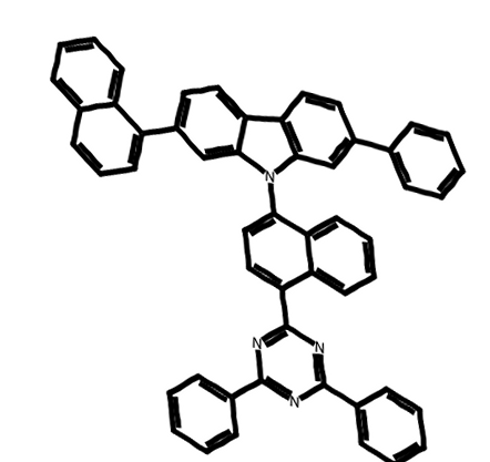 c1ccc(-c2ccc3c4ccc(-c5cccc6ccccc56)cc4n(-c4ccc(-c5nc(-c6ccccc6)nc(-c6ccccc6)n5)c5ccccc45)c3c2)cc1